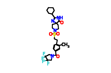 Cc1cc(C(=O)N2CC(F)(F)C(F)(F)C2)ccc1CCS(=O)(=O)N1CCC2(CC1)N=C(C1CCCCC1)NC2=O